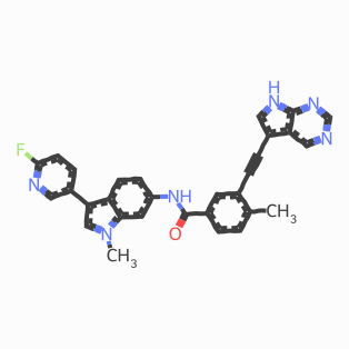 Cc1ccc(C(=O)Nc2ccc3c(-c4ccc(F)nc4)cn(C)c3c2)cc1C#Cc1c[nH]c2ncncc12